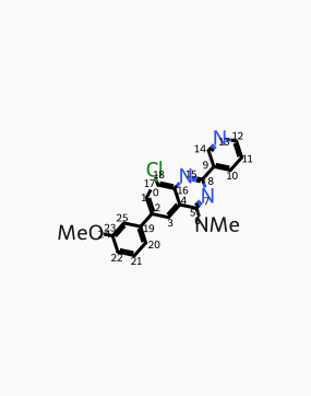 C\C=C(/C=c1/c(NC)nc(-c2cccnc2)n/c1=C\Cl)c1cccc(OC)c1